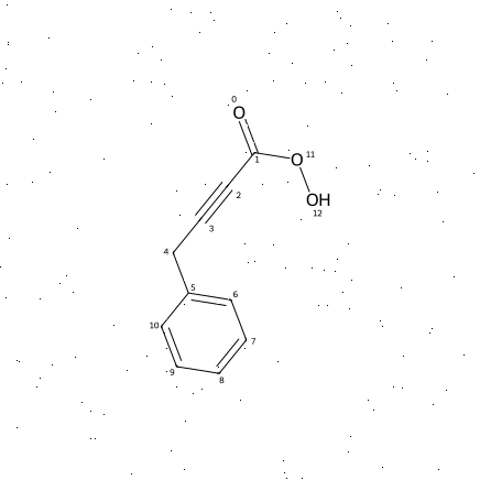 O=C(C#CCc1ccccc1)OO